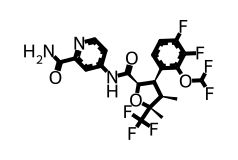 C[C@@H]1[C@H](c2ccc(F)c(F)c2OC(F)F)[C@H](C(=O)Nc2ccnc(C(N)=O)c2)O[C@@]1(C)C(F)(F)F